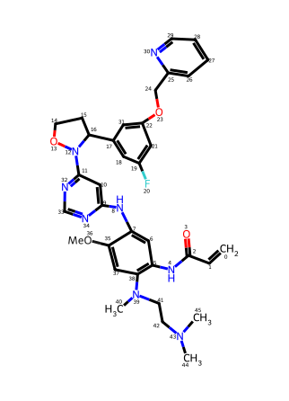 C=CC(=O)Nc1cc(Nc2cc(N3OCCC3c3cc(F)cc(OCc4ccccn4)c3)ncn2)c(OC)cc1N(C)CCN(C)C